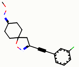 CON=C1CCC2(CC1)CC(C#Cc1cccc(Cl)c1)=NO2